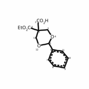 CCOC(=O)C1(C(=O)O)COC(c2ccccc2)OC1